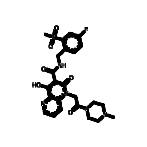 CN1CCN(C(=O)Cn2c(=O)c(C(=O)NCc3ccc(F)cc3S(C)(=O)=O)c(O)c3ncccc32)CC1